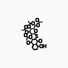 CC(=O)OC[C@H]1O[C@@H](SC2=CC(=O)c3cccc(O)c3C2=O)C(OC(C)=O)[C@@H](OC(C)=O)[C@@H]1OC(C)=O